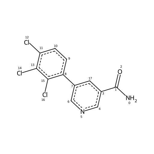 NC(=O)c1cncc(-c2ccc(Cl)c(Cl)c2Cl)c1